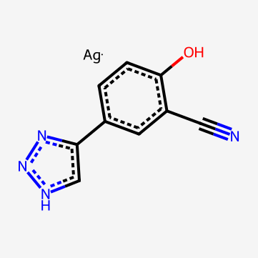 N#Cc1cc(-c2c[nH]nn2)ccc1O.[Ag]